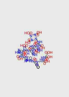 O=C(O)CC[C@H](NC(=O)N[C@@H](CCCCNC(=O)[C@H](Cc1ccc2ccccc2c1)NC(=O)[C@H]1CC[C@H](CNC(=O)[C@H](Cc2c[nH]cn2)NC(=O)[C@H](CCC(=O)O)NC(=O)[C@H](Cc2c[nH]cn2)NC(=O)[C@H](CCC(=O)O)NC(=O)[C@H](Cc2c[nH]cn2)NC(=O)[C@H](CCC(=O)O)NC(=O)[C@H](Cc2c[nH]cn2)NC(=O)[C@H](CCC(=O)O)NC(=O)CN2CCN(CC(=O)O)CCN(CC(=O)O)CCN(CC(=O)O)CC2)CC1)C(=O)O)C(=O)O